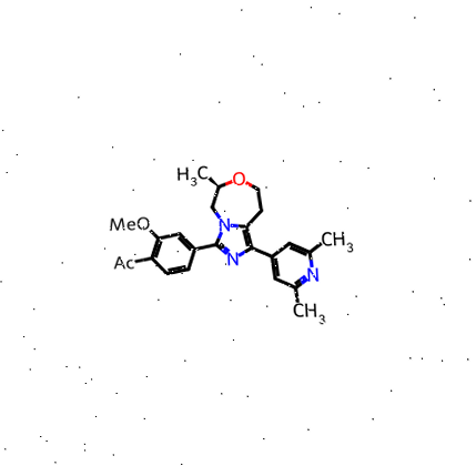 COc1cc(-c2nc(-c3cc(C)nc(C)c3)c3n2C[C@@H](C)OCC3)ccc1C(C)=O